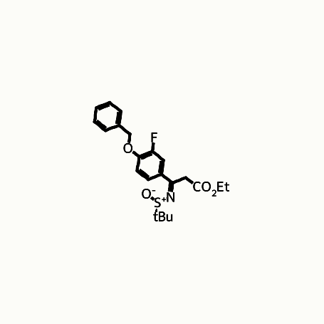 CCOC(=O)C/C(=N/[S@@+]([O-])C(C)(C)C)c1ccc(OCc2ccccc2)c(F)c1